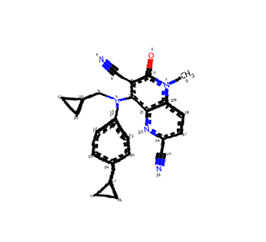 Cn1c(=O)c(C#N)c(N(CC2CC2)c2ccc(C3CC3)cc2)c2nc(C#N)ccc21